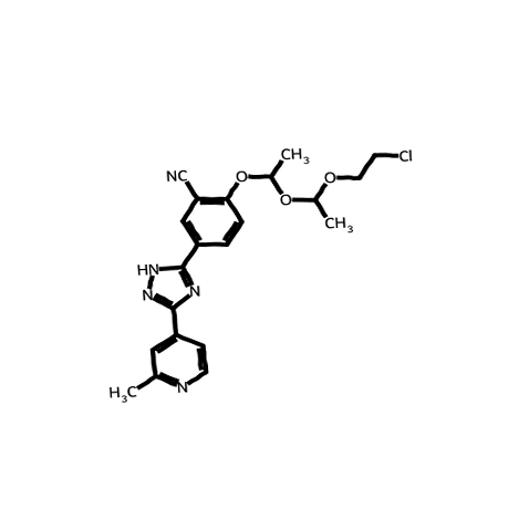 Cc1cc(-c2n[nH]c(-c3ccc(OC(C)OC(C)OCCCl)c(C#N)c3)n2)ccn1